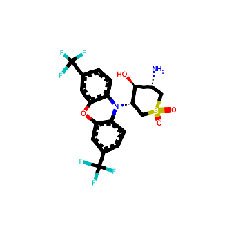 N[C@@H]1CS(=O)(=O)C[C@H](N2c3ccc(C(F)(F)F)cc3Oc3cc(C(F)(F)F)ccc32)[C@H]1O